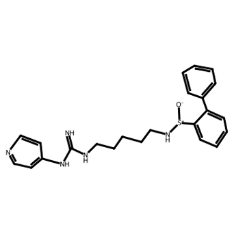 N=C(NCCCCCN[S+]([O-])c1ccccc1-c1ccccc1)Nc1ccncc1